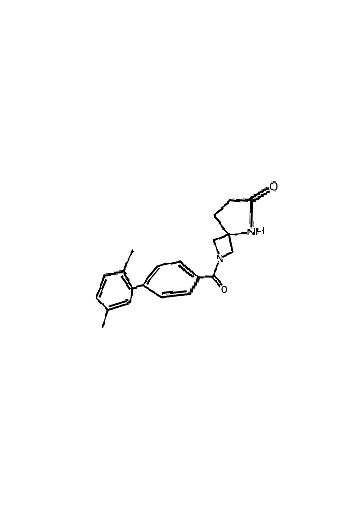 Cc1ccc(C)c(-c2ccc(C(=O)N3CC4(CCC(=O)N4)C3)cc2)c1